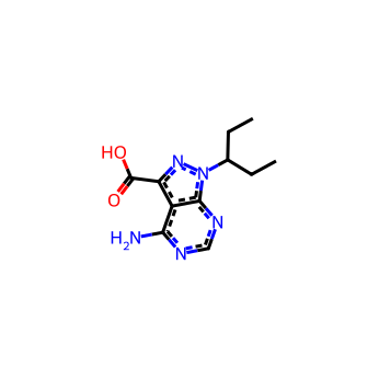 CCC(CC)n1nc(C(=O)O)c2c(N)ncnc21